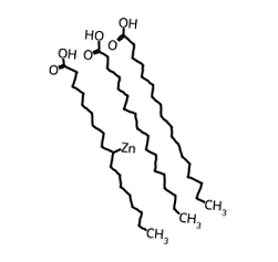 CCCCCCCCCCCCCCCCCC(=O)O.CCCCCCCCCCCCCCCCCC(=O)O.CCCCCCCC[CH]([Zn])CCCCCCCCC(=O)O